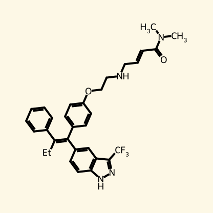 CC/C(=C(/c1ccc(OCCNC/C=C/C(=O)N(C)C)cc1)c1ccc2[nH]nc(C(F)(F)F)c2c1)c1ccccc1